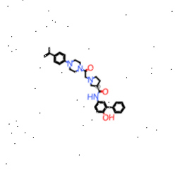 C=C(C)c1ccc(N2CCN(C(=O)CN3CC[C@@H](C(=O)Nc4ccc(O)c(-c5ccccc5)c4)C3)CC2)cc1